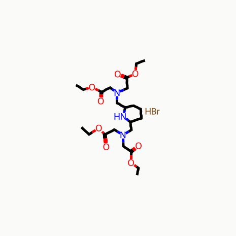 Br.CCOC(=O)CN(CC(=O)OCC)CC1CCCC(CN(CC(=O)OCC)CC(=O)OCC)N1